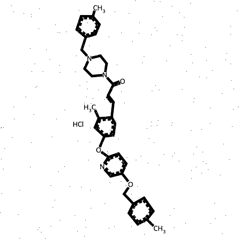 Cc1ccc(COc2ccc(Oc3ccc(/C=C/C(=O)N4CCN(Cc5ccc(C)cc5)CC4)c(C)c3)nc2)cc1.Cl